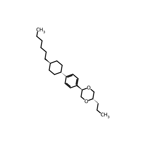 CCCCCC[C@H]1CC[C@H](c2ccc([C@@H]3CO[C@@H](CCC)CO3)cc2)CC1